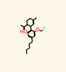 C=C(C)C1CCC(C)=CC1c1c(O)cc(CCCCC)cc1OCF